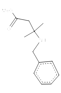 COC(=O)CC(C)(C)NCc1ccccc1